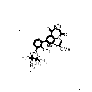 COC(CN1C(=O)CN(C)C(=O)c2cc(-c3cccc(B4OC(C)(C)C(C)(C)O4)c3C)ccc21)OC